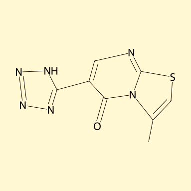 Cc1csc2ncc(-c3nnn[nH]3)c(=O)n12